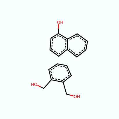 OCc1ccccc1CO.Oc1cccc2ccccc12